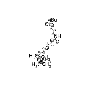 CCC(C)C(=O)OCCCNC(=O)OCCOCCC[Si](C)(C)O[Si](C)(C)C